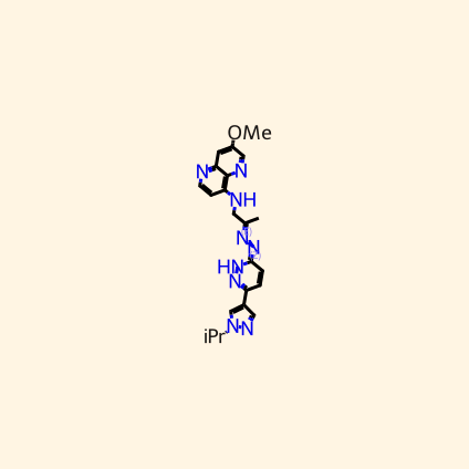 COc1cnc2c(NC/C(C)=N/N=c3/ccc(-c4cnn(C(C)C)c4)n[nH]3)ccnc2c1